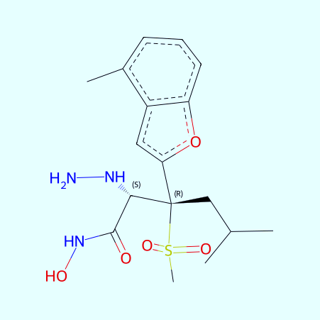 Cc1cccc2oc([C@@](CC(C)C)([C@@H](NN)C(=O)NO)S(C)(=O)=O)cc12